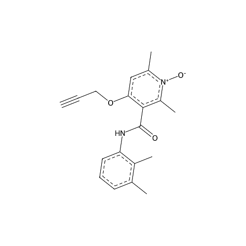 C#CCOc1cc(C)[n+]([O-])c(C)c1C(=O)Nc1cccc(C)c1C